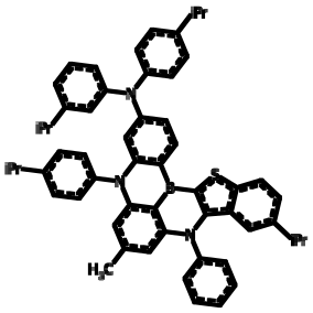 Cc1cc2c3c(c1)N(c1ccccc1)c1c(sc4ccc(C(C)C)cc14)B3c1ccc(N(c3ccc(C(C)C)cc3)c3cccc(C(C)C)c3)cc1N2c1ccc(C(C)C)cc1